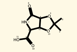 CC1(C)OC2C(=O)NC(C(=O)O)C2O1